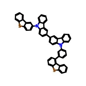 c1cc(-c2cccc3sc4ccccc4c23)cc(-n2c3ccccc3c3cc(-c4ccc5c(c4)c4ccccc4n5-c4ccc5sc6ccccc6c5c4)ccc32)c1